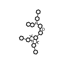 CC1(C)c2cc(-c3ccccc3)ccc2N2c3ccc(-c4ccccc4)cc3C(C)(C)c3cc(-c4ccc5oc6ccc(N(c7ccc(-c8ccccc8)cc7)c7ccc8ccccc8c7)cc6c5c4)cc1c32